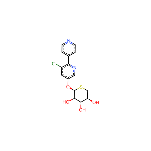 O[C@@H]1[C@@H](O)[C@@H](Oc2cnc(-c3ccncc3)c(Cl)c2)SC[C@H]1O